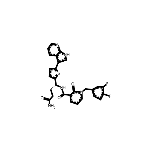 NC(=O)CC[C@@H](NC(=O)c1cccn(Cc2ccc(F)c(F)c2)c1=O)c1ccc(-c2c[nH]c3ncccc23)s1